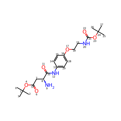 CC(C)(C)OC(=O)C[C@H](N)C(=O)Nc1ccc(OCCNC(=O)OC(C)(C)C)cc1